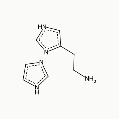 NCCc1c[nH]cn1.c1c[nH]cn1